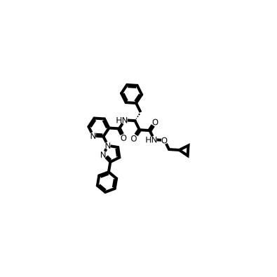 O=C(NOCC1CC1)C(=O)[C@@H](Cc1ccccc1)NC(=O)c1cccnc1-n1ccc(-c2ccccc2)n1